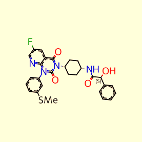 CSc1cccc(-n2c(=O)n([C@H]3CC[C@@H](NC(=O)[C@@H](O)c4ccccc4)CC3)c(=O)c3cc(F)cnc32)c1